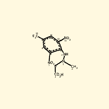 CN(CC(=O)O)Nc1c([N+](=O)[O-])cc(C(F)(F)F)cc1[N+](=O)[O-]